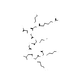 CSCC[C@H](NC(=O)[C@H](CCC(N)=O)NC(=O)[C@H](CCCCN)NC(=O)[C@@H](N)CCCNC(=N)N)C(=O)N[C@@H](C)C(=O)N[C@H](C(=O)N[C@@H](CCCCN)C(=O)N[C@@H](CCCCN)C(=O)O)C(C)C